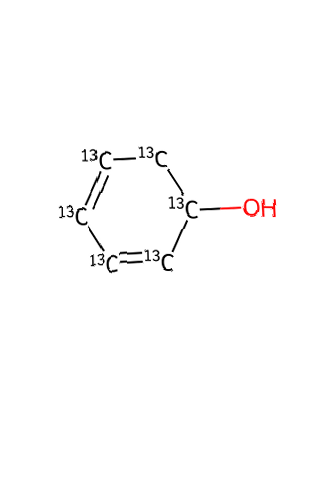 O[13CH]1[13CH]=[13CH][13CH]=[13CH][13CH2]1